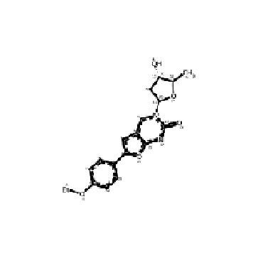 CCOc1ccc(-c2cc3cn([C@H]4C[C@H](O)C(C)O4)c(=O)nc3o2)cc1